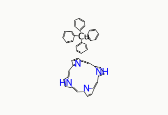 C1=Cc2cc3ccc(cc4nc(cc5ccc(cc1n2)[nH]5)C=C4)[nH]3.c1cc[c]([Cu]([c]2ccccc2)([c]2ccccc2)[c]2ccccc2)cc1